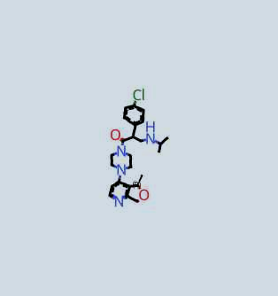 CC(C)NCC(C(=O)N1CCN(c2ccnc3c2[C@@H](C)OC3)CC1)c1ccc(Cl)cc1